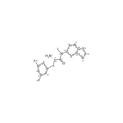 CN(C(=O)[C@@H](N)Cc1cc(F)cc(F)c1)c1cnc2scnc2c1